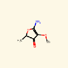 CCCOC1=C(N)OC(C)C1=O